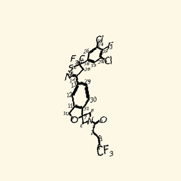 O=C(CCC(F)(F)F)N1CC2(C1)OCc1cc(C3=NSC(c4cc(Cl)c(F)c(Cl)c4)(C(F)(F)F)C3)ccc12